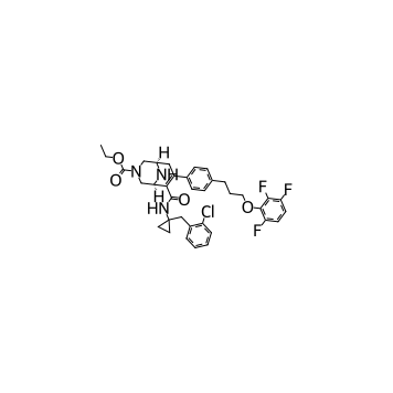 CCOC(=O)N1C[C@H]2CC(c3ccc(CCCOc4c(F)ccc(F)c4F)cc3)=C(C(=O)NC3(Cc4ccccc4Cl)CC3)[C@@H](C1)N2